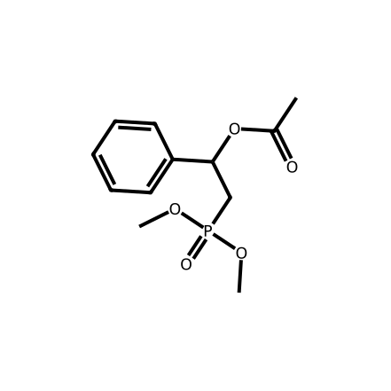 COP(=O)(CC(OC(C)=O)c1ccccc1)OC